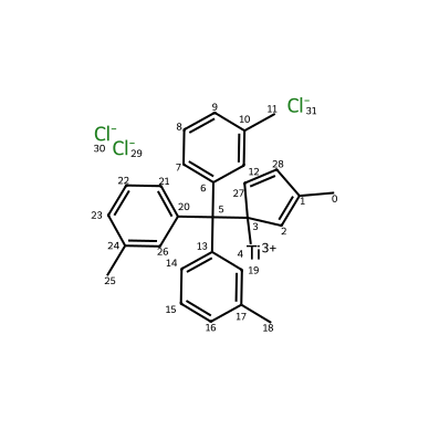 CC1=C[C]([Ti+3])(C(c2cccc(C)c2)(c2cccc(C)c2)c2cccc(C)c2)C=C1.[Cl-].[Cl-].[Cl-]